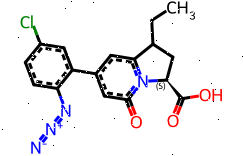 CCC1C[C@@H](C(=O)O)n2c1cc(-c1cc(Cl)ccc1N=[N+]=[N-])cc2=O